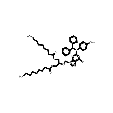 CCCCCCCCCCCCCCCCCC(=O)OCC(COC(=O)CCCCCCCCCCCCCCCCC)OCn1cnc2c(Cl)nc(N(c3ccc(OC)cc3)C(c3ccccc3)c3ccccc3)nc21